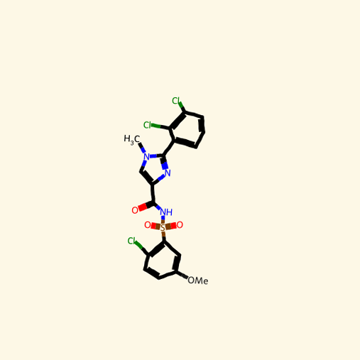 COc1ccc(Cl)c(S(=O)(=O)NC(=O)c2cn(C)c(-c3cccc(Cl)c3Cl)n2)c1